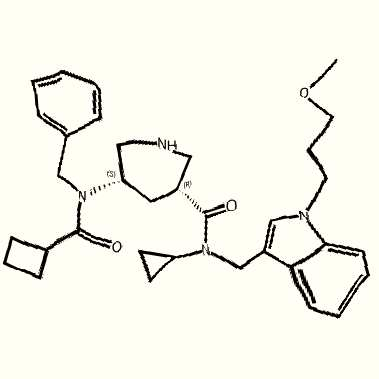 COCCCn1cc(CN(C(=O)[C@H]2CNC[C@@H](N(Cc3ccccc3)C(=O)C3CCC3)C2)C2CC2)c2ccccc21